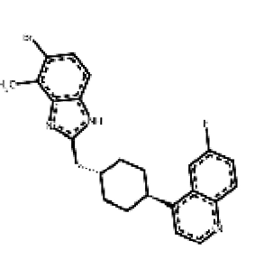 Cc1c(Br)ccc2[nH]c(C[C@H]3CC[C@H](c4ccnc5ccc(F)cc54)CC3)nc12